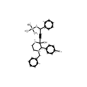 CC(C)(C)[Si](C)(C)OC(C#CC1(O)OCCN(Cc2ccccc2)C1c1ccc(F)cc1)c1ccccc1